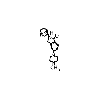 CN1CCN(c2ccc3c(c2)CN([C@H]2CN4CCC2CC4)C3=O)CC1